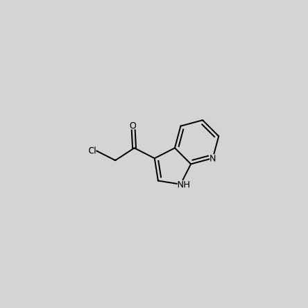 O=C(CCl)c1c[nH]c2ncccc12